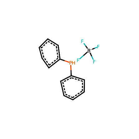 F[B-](F)(F)F.c1ccc(Pc2ccccc2)cc1